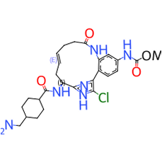 COC(=O)Nc1ccc2c(c1)NC(=O)CC/C=C/C[C@H](NC(=O)C1CCC(CN)CC1)c1nc-2c(Cl)[nH]1